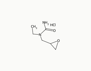 CCN(CC1CO1)C(N)=O.Cl